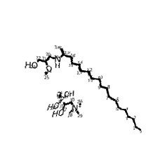 CCCCCCCCCCCCCCCCCC(C)NCC(CO)OC.C[N+](C)(C)CC(O)P(=O)(O)O